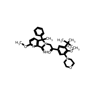 COc1ccc2c(n1)C(=N)N(CC(=O)c1cc(N3CCOCC3)c(OC)c(C(C)(C)C)c1)C2(C)c1ccccc1